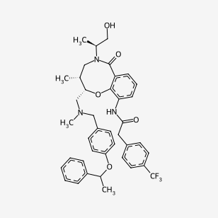 CC(Oc1ccc(CN(C)C[C@H]2Oc3c(NC(=O)Cc4ccc(C(F)(F)F)cc4)cccc3C(=O)N([C@@H](C)CO)C[C@H]2C)cc1)c1ccccc1